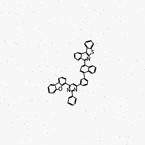 c1ccc(-c2nc(-c3cccc(-c4ccc(-c5nc6sc7ccccc7c6c6ccccc56)c5ccccc45)c3)cc(-c3cccc4c3oc3ccccc34)n2)cc1